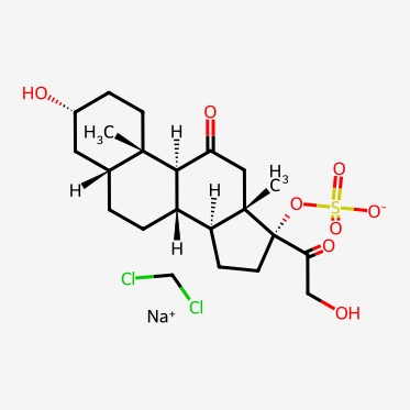 C[C@]12CC[C@@H](O)C[C@H]1CC[C@@H]1[C@@H]2C(=O)C[C@@]2(C)[C@H]1CC[C@]2(OS(=O)(=O)[O-])C(=O)CO.ClCCl.[Na+]